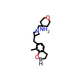 Cc1c(CC2CN(CC3(N)CCOCC3)C2)ccc2c1OBCC2